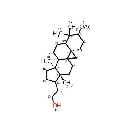 CC(=O)O[C@H]1CC[C@]23C[C@]24CC[C@]2(C)C(CCO)CC[C@@]2(C)C4CCC3C1(C)C